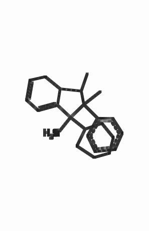 CC1C2CC=CC=C2C([SiH3])(C2CCCCC2)C1(C)c1ccccc1